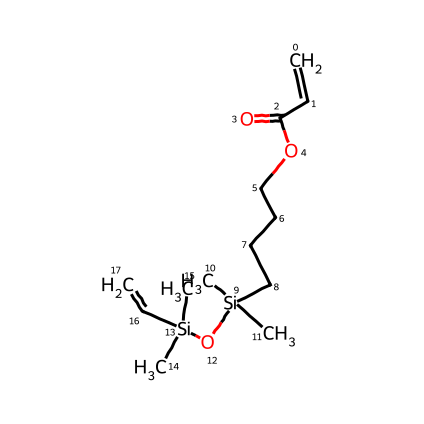 C=CC(=O)OCCCC[Si](C)(C)O[Si](C)(C)C=C